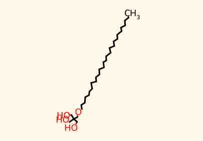 CCCCCCCCCCCCCCCCCCCCCCCCCCCCOCC(CO)(CO)CO